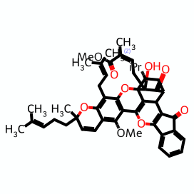 COC(=O)/C(C)=C\CC1(O)C(=O)C2CC(C(C)C)C13Oc1c(CC=C(C)C)c4c(c(OC)c1C1=C3C2C2=C(O1)c1ccccc1C2=O)C=CC(C)(CCC=C(C)C)O4